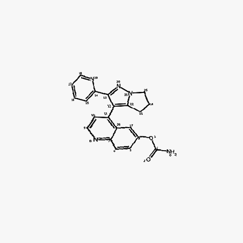 NC(=O)Oc1ccc2nccc(-c3c(-c4ccccn4)nn4c3CCC4)c2c1